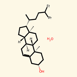 CCC(CCC(C)[C@H]1CC[C@H]2[C@@H]3CC=C4C[C@@H](O)CC[C@]4(C)[C@H]3CC[C@]12C)C(C)C.O